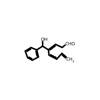 C=C/C=C\C(=C/CC=O)C(O)c1ccccc1